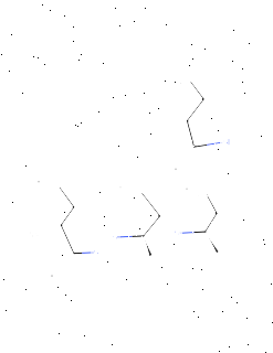 N[C@@H](CC(=O)O)C(=O)O.N[C@@H](CC(=O)O)C(=O)O.N[C@@H](CCC(=O)O)C(=O)[O-].N[C@@H](CCC(=O)O)C(=O)[O-].[Mg+2]